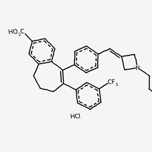 Cl.O=C(O)c1ccc2c(c1)CCCC(c1cccc(C(F)(F)F)c1)=C2c1ccc(C=C2CN(CCCF)C2)cc1